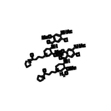 COc1cc(NC(C)=O)c(Cl)cc1C(=O)NC1CCN(CCCC(=O)N2CCCC2)CC1OC.COc1cc(NC(C)=O)c(Cl)cc1C(=O)NC1CCN(CCCC(=O)N2CCCC2)CC1OC.O